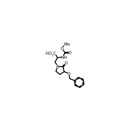 CC(C)(C)OC(=O)NC(CN1CCC(OCc2ccccc2)C1=O)C(=O)O